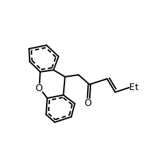 CCC=CC(=O)CC1c2ccccc2Oc2ccccc21